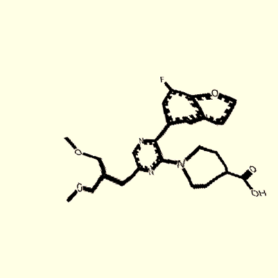 COCC(COC)Cc1cnc(-c2cc(F)c3occc3c2)c(N2CCC(C(=O)O)CC2)n1